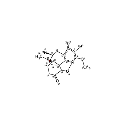 [2H]c1c([2H])c(OC)c2c3c1C[C@]1([2H])[C@@H]4CCC(=O)C(O2)[C@]34CCN1C